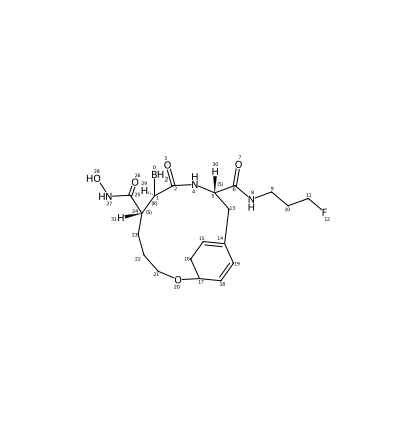 B[C@H]1C(=O)N[C@H](C(=O)NCCCF)CC2=CCC(C=C2)OCCC[C@@H]1C(=O)NO